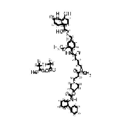 COc1cc(CNC[C@H](O)c2ccc(O)c3[nH]c(=O)ccc23)ccc1NC(=O)CCCCN(C)C(=O)CCN1CCC(OC(=O)Nc2ccccc2-c2ccccc2)CC1.O=C(O)C(F)(F)F.O=C(O)C(F)(F)F